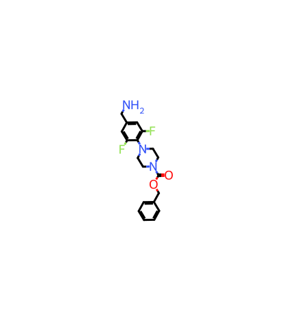 NCc1cc(F)c(N2CCN(C(=O)OCc3ccccc3)CC2)c(F)c1